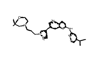 CC(C)c1cnnc(Nc2ccc3ncc(-c4cnn(CCCN5CCOC(C)(C)C5)c4)cc3n2)c1